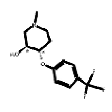 CN1CC[C@H](Oc2ccc(C(F)(F)F)cc2)[C@@H](O)C1